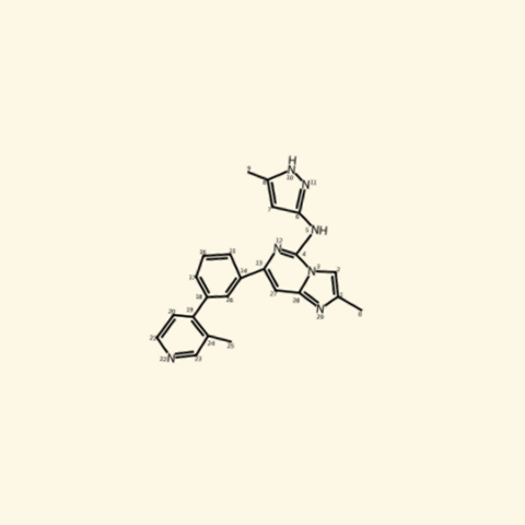 Cc1cn2c(Nc3cc(C)[nH]n3)nc(-c3cccc(-c4ccncc4C)c3)cc2n1